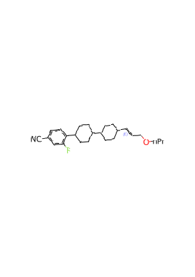 CCCOC/C=C/C1CCC(C2CCC(c3ccc(C#N)cc3F)CC2)CC1